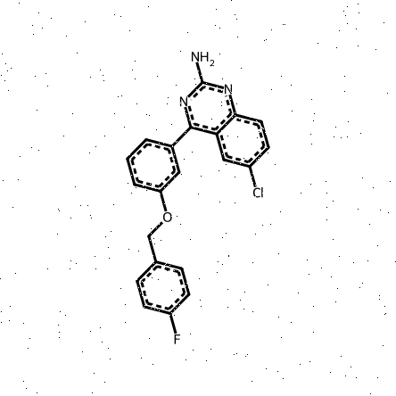 Nc1nc(-c2cccc(OCc3ccc(F)cc3)c2)c2cc(Cl)ccc2n1